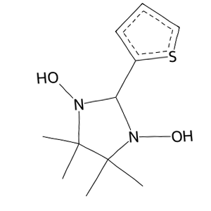 CC1(C)N(O)C(c2cccs2)N(O)C1(C)C